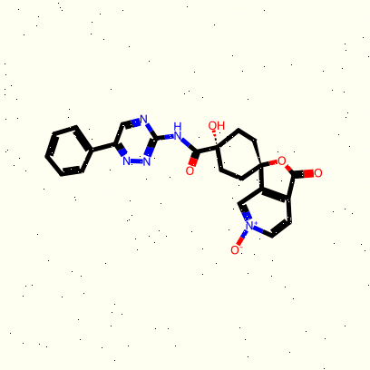 O=C1O[C@]2(CC[C@](O)(C(=O)Nc3ncc(-c4ccccc4)nn3)CC2)c2c[n+]([O-])ccc21